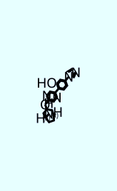 Oc1cc(-n2ccnc2)ccc1-c1cnc(OC2C[C@H]3CC[C@@H](C2)N3)cn1